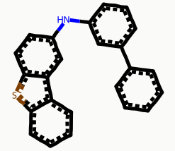 c1ccc(-c2cccc(Nc3ccc4sc5ccccc5c4c3)c2)cc1